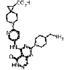 NCC1CCN(c2nc(Nc3ccc(N4CCC5(CC4)CC5C(=O)O)nc3)c3c(=O)[nH]ncc3n2)CC1